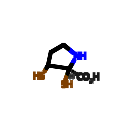 O=C(O)[C@@]1(S)NCCC1S